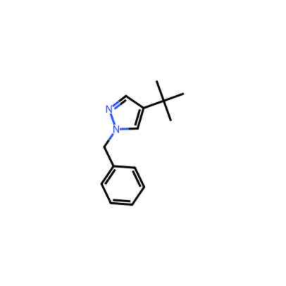 CC(C)(C)c1cnn(Cc2ccccc2)c1